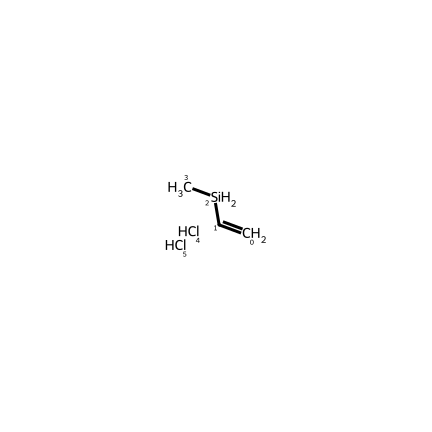 C=C[SiH2]C.Cl.Cl